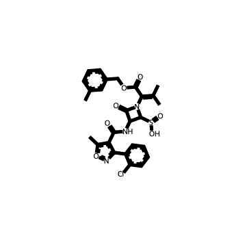 CC(C)=C(C(=O)OCc1cccc(C)c1)N1C(=O)C(NC(=O)c2c(-c3ccccc3Cl)noc2C)C1S(=O)O